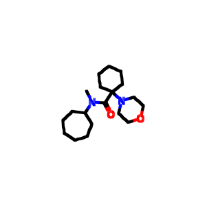 CN(C(=O)C1(N2CCOCC2)CCCCC1)C1CCCCCC1